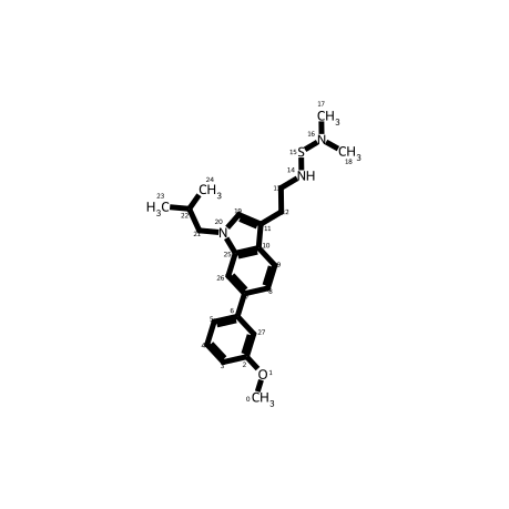 COc1cccc(-c2ccc3c(CCNSN(C)C)cn(CC(C)C)c3c2)c1